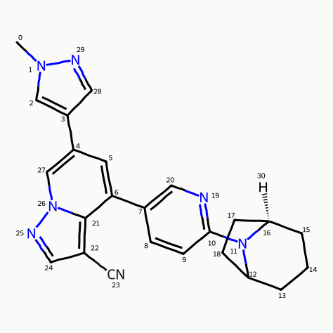 Cn1cc(-c2cc(-c3ccc(N4C5CCC[C@@H]4CC5)nc3)c3c(C#N)cnn3c2)cn1